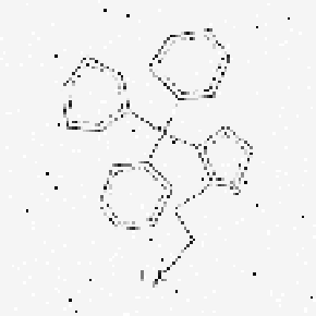 CCCc1sccc1C(c1ccccc1)(c1ccccc1)c1ccccc1